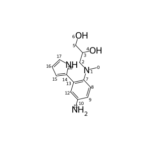 CN(CC(O)CO)c1ccc(N)cc1-c1ccc[nH]1